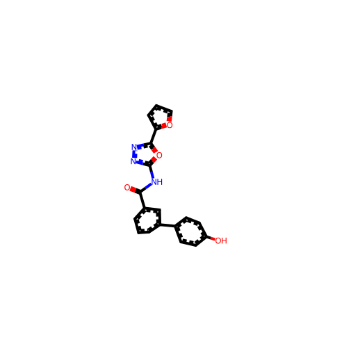 O=C(Nc1nnc(-c2ccco2)o1)c1cccc(-c2ccc(O)cc2)c1